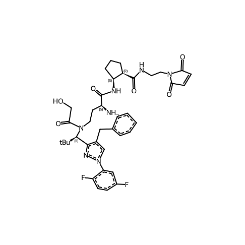 CC(C)(C)[C@H](c1nn(-c2cc(F)ccc2F)cc1Cc1ccccc1)N(CC[C@H](N)C(=O)N[C@H]1CCC[C@H]1C(=O)NCCN1C(=O)C=CC1=O)C(=O)CO